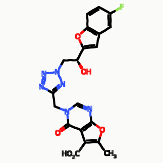 Cc1oc2ncn(Cc3nnn(C[C@H](O)c4cc5cc(F)ccc5o4)n3)c(=O)c2c1C(=O)O